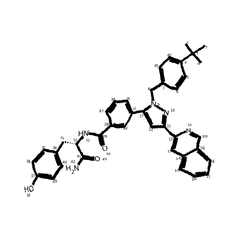 CC(C)(C)c1ccc(Cn2nc(-c3cc4ccccc4cn3)cc2-c2cccc(C(=O)N[C@@H](Cc3ccc(O)cc3)C(N)=O)c2)cc1